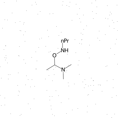 CCCNOC(C)N(C)C